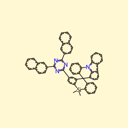 C[Si]1(C)c2ccccc2C2(c3ccccc3-n3c4ccccc4c4cccc2c43)c2cc(-c3nc(-c4ccc5ccccc5c4)nc(-c4ccc5ccccc5c4)n3)ccc21